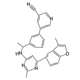 Cc1nc(NC(C)c2cccc(-c3cncc(C#N)c3)c2)cc(-c2ccc3occ(C)c3c2)n1